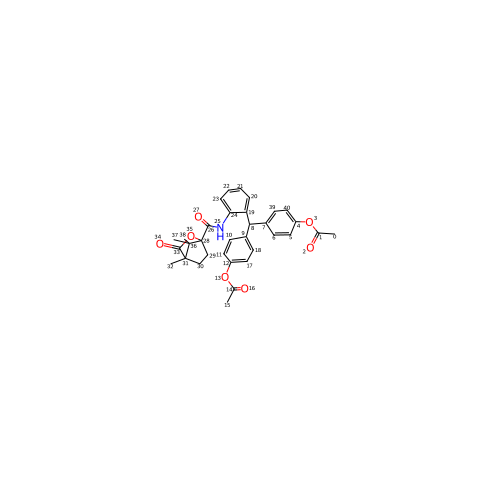 CC(=O)Oc1ccc(C(c2ccc(OC(C)=O)cc2)c2ccccc2NC(=O)C23CCC(C)(C(=O)O2)C3(C)C)cc1